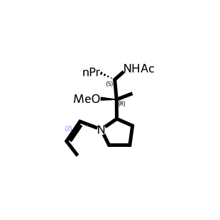 C/C=C\N1CCCC1[C@](C)(OC)[C@H](CCC)NC(C)=O